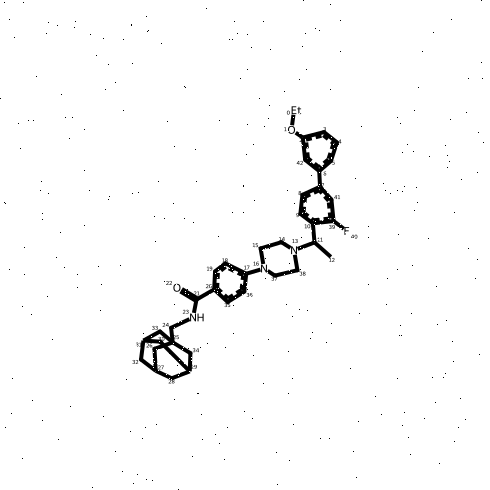 CCOc1cccc(-c2ccc(C(C)N3CCN(c4ccc(C(=O)NCC56CC7CC(CC(C7)C5)C6)cc4)CC3)c(F)c2)c1